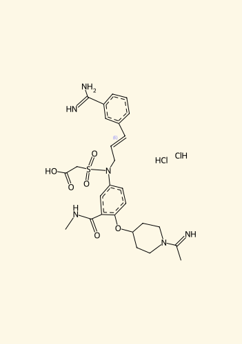 CNC(=O)c1cc(N(C/C=C/c2cccc(C(=N)N)c2)S(=O)(=O)CC(=O)O)ccc1OC1CCN(C(C)=N)CC1.Cl.Cl